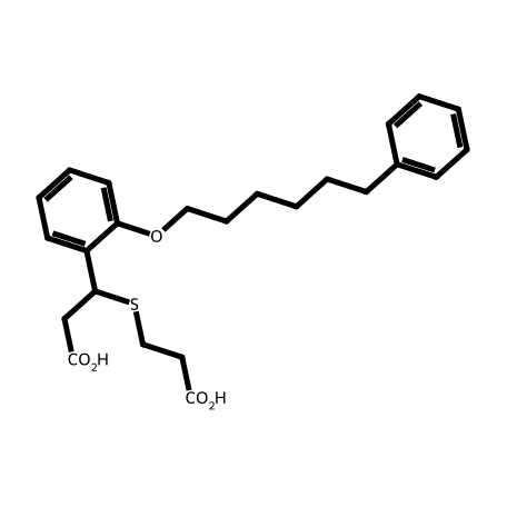 O=C(O)CCSC(CC(=O)O)c1ccccc1OCCCCCCc1ccccc1